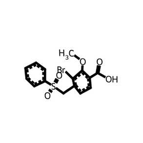 COc1c(C(=O)O)ccc(CS(=O)(=O)c2ccccc2)c1Br